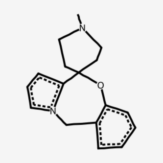 CN1CCC2(CC1)Oc1ccccc1Cn1cccc12